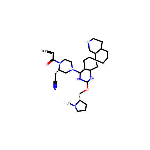 C=CC(=O)N1CCN(C2NC(OC[C@@H]3CCCN3C)NC3C[C@@]4(CCCC5CCNCC54)CCC32)C[C@@H]1CC#N